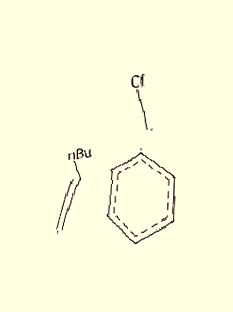 [CH2]Cl.[CH]=CCCCC.[c]1ccccc1